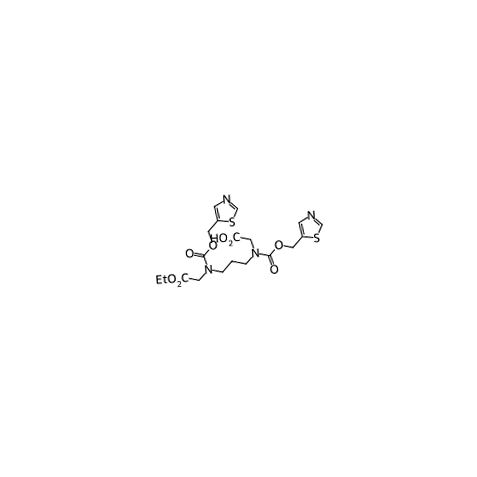 CCOC(=O)CN(CCCN(CC(=O)O)C(=O)OCc1cncs1)C(=O)OCc1cncs1